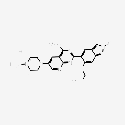 COCOc1cc2nn(C)cc2cc1-c1nc(OC)c2cc(N3C[C@@H](C)N(C(=O)O)[C@@H](C)C3)cnc2n1